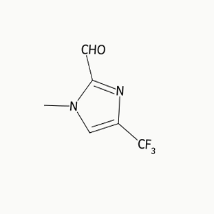 Cn1cc(C(F)(F)F)nc1C=O